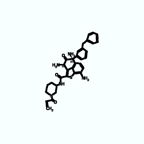 C=CC(=O)N1CCCC(NC(=O)c2sc3c(N)ccc4c3c2[C@@H](N)C(=O)[C@@]4(N)c2cccc(Cc3ccccc3)c2)C1